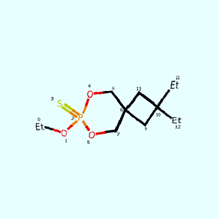 CCOP1(=S)OCC2(CO1)CC(CC)(CC)C2